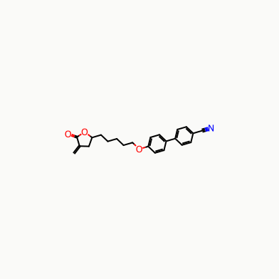 C=C1CC(CCCCCOc2ccc(-c3ccc(C#N)cc3)cc2)OC1=O